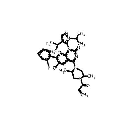 C=CC(=O)N1CC(C)N(c2nc(=O)n(-c3c(C(C)C)cnn3C(C)C)c3nc(-c4ccccc4F)c(Cl)cc23)CC1C